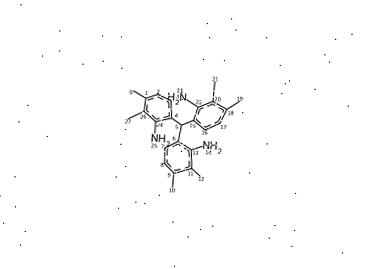 Cc1ccc(C(c2ccc(C)c(C)c2N)c2ccc(C)c(C)c2N)c(N)c1C